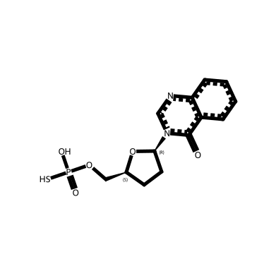 O=c1c2ccccc2ncn1[C@H]1CC[C@@H](COP(=O)(O)S)O1